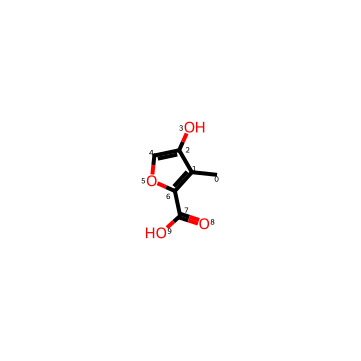 Cc1c(O)coc1C(=O)O